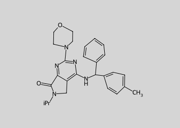 Cc1ccc(C(Nc2nc(N3CCOCC3)nc3c2CN(C(C)C)C3=O)c2ccccc2)cc1